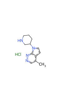 Cc1cnnc2c1ccn2C1CCCNC1.Cl